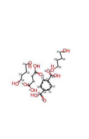 O=C(O)CCC(=O)O.O=C(O)c1ccc(C(=O)O)cc1.OCCCCO.OCCCCO